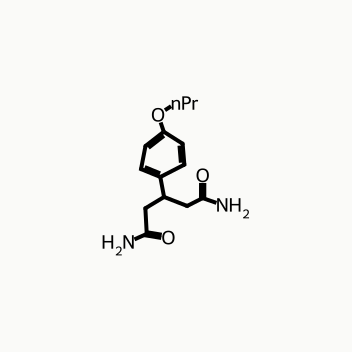 CCCOc1ccc(C(CC(N)=O)CC(N)=O)cc1